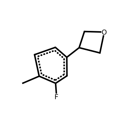 Cc1ccc(C2COC2)cc1F